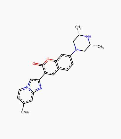 COc1ccn2cc(-c3cc4ccc(N5C[C@@H](C)N[C@@H](C)C5)cc4oc3=O)nc2c1